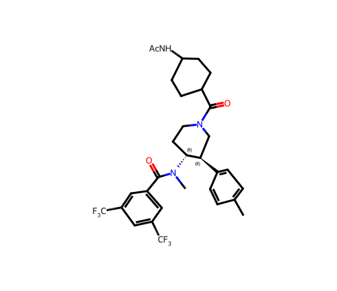 CC(=O)NC1CCC(C(=O)N2CC[C@@H](N(C)C(=O)c3cc(C(F)(F)F)cc(C(F)(F)F)c3)[C@H](c3ccc(C)cc3)C2)CC1